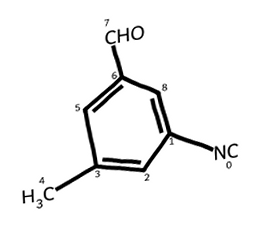 [C-]#[N+]c1cc(C)cc(C=O)c1